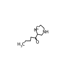 CCCCC(=O)C1CNCCC[N]1